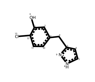 Oc1cc(Cc2cc[nH]n2)ccc1Cl